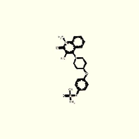 Cn1c(=O)c(C#N)c(N2CCC(Oc3ccc(N=S(C)(C)=O)cc3)CC2)c2ccccc21